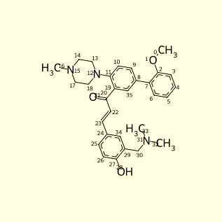 COc1ccccc1-c1ccc(N2CCN(C)CC2)c(C(=O)C=Cc2ccc(O)c(CN(C)C)c2)c1